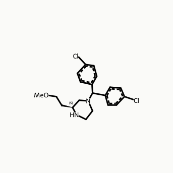 COCC[C@H]1CN(C(c2ccc(Cl)cc2)c2ccc(Cl)cc2)CCN1